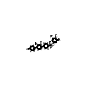 Cc1ccc(-c2ccc(C3CCC(C(F)(F)Oc4cc(F)c(F)c(F)c4)CC3)c(F)c2F)cc1